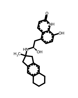 CC1(N[C@H](O)Cc2ccc(O)c3[nH]c(=O)ccc23)Cc2cc3c(cc2C1)CCCC3